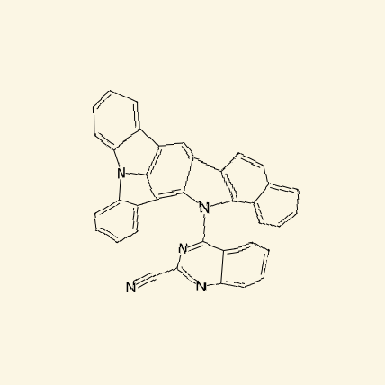 N#Cc1nc(-n2c3c4ccccc4ccc3c3cc4c5ccccc5n5c6ccccc6c(c32)c45)c2ccccc2n1